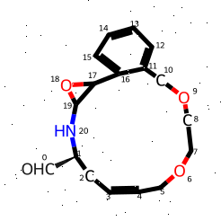 O=C[C@@H]1C/C=C\COCCOCc2ccccc2C2OC2N1